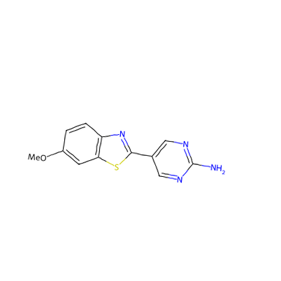 COc1ccc2nc(-c3cnc(N)nc3)sc2c1